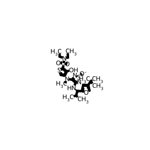 CCN(CC)S(=O)(=O)c1scc(N(C)c2n[s+]([O-])nc2N[C@@H](c2cc(C(C)(C)C)co2)C(C)C)c1O